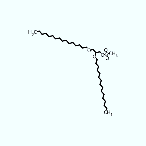 CCCCCCCCCCCCCCCCOCC(COS(C)(=O)=O)OCCCCCCCCCCCCCCCC